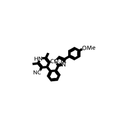 CCOC(=O)C1=C(C)NC(C)=C(C#N)C1c1ccccc1-c1nc(-c2ccc(OC)cc2)cs1